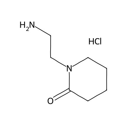 Cl.NCCN1CCCCC1=O